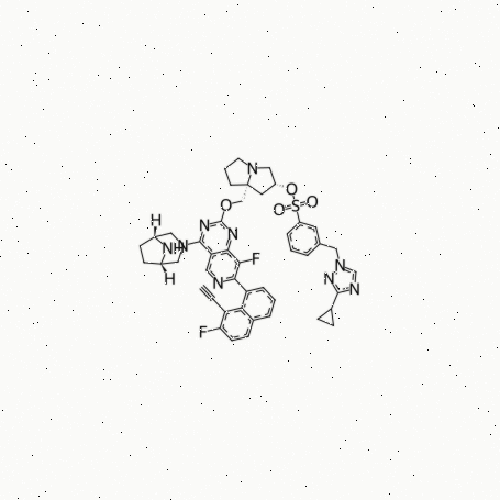 C#Cc1c(F)ccc2cccc(-c3ncc4c(N5C[C@H]6CC[C@@H](C5)N6)nc(OC[C@]56CCCN5C[C@H](OS(=O)(=O)c5cccc(Cn7cnc(C8CC8)n7)c5)C6)nc4c3F)c12